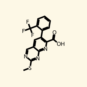 CSc1ncc2cc(-c3ccccc3C(F)(F)F)c(C(=O)O)nc2n1